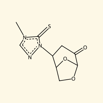 Cn1cnn(C2CC(=O)C3OCC2O3)c1=S